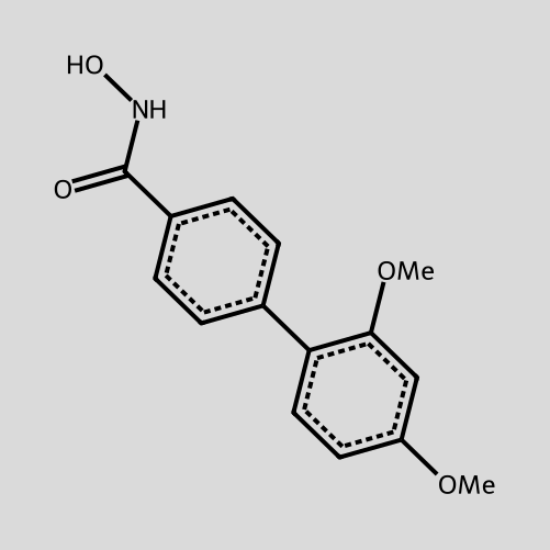 COc1ccc(-c2ccc(C(=O)NO)cc2)c(OC)c1